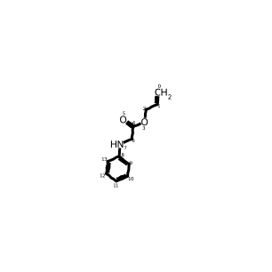 C=CCOC(=O)CNc1ccccc1